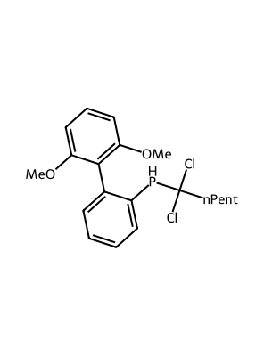 CCCCCC(Cl)(Cl)Pc1ccccc1-c1c(OC)cccc1OC